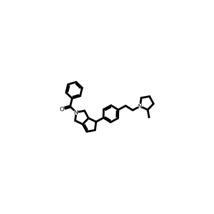 CC1CCCN1CCc1ccc(C2CC=C3CN(C(=O)c4ccccc4)CC32)cc1